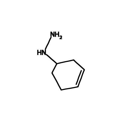 NNC1CC=CCC1